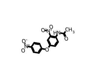 CC(=O)Nc1ccc(Oc2ccc([N+](=O)[O-])cc2)cc1[N+](=O)[O-]